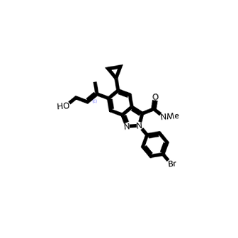 CNC(=O)c1c2cc(C3CC3)c(/C(C)=C/CO)cc2nn1-c1ccc(Br)cc1